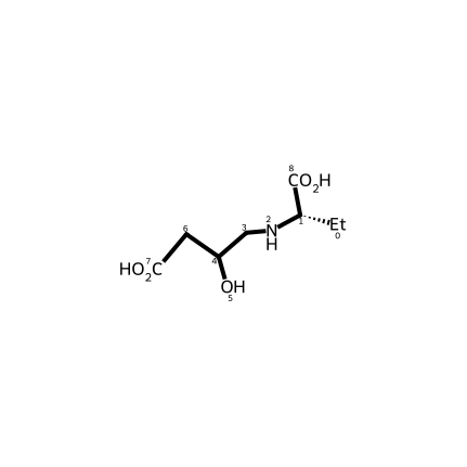 CC[C@H](NCC(O)CC(=O)O)C(=O)O